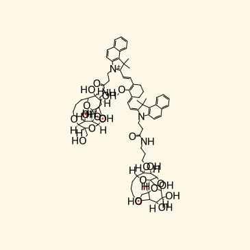 COC1=C(/C=C/C2=[N+](CCC(=O)NCCCO[C@H]3[C@H]4OC5[C@@H](CO)OC(CCCO[C@@H]([C@@H]3O)[C@@H](CO)O4)[C@H](O)[C@H]5O)c3ccc4ccccc4c3C2(C)C)CCC/C1=C\C=C1\N(CCC(=O)NCCCO[C@H]2[C@H]3CCCOC4[C@@H](CO)OC(OC([C@@H](CO)O3)[C@@H]2O)[C@H](O)[C@H]4O)c2ccc3ccccc3c2C1(C)C